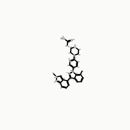 Cc1cccc2c(-c3cccc4nn(C)cc34)nn(-c3ccc(N4CCO[C@@H](CC(=O)O)C4)nc3)c12